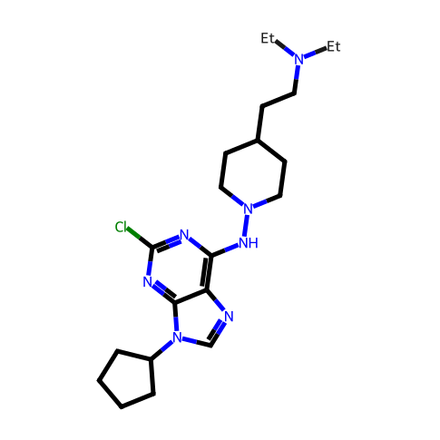 CCN(CC)CCC1CCN(Nc2nc(Cl)nc3c2ncn3C2CCCC2)CC1